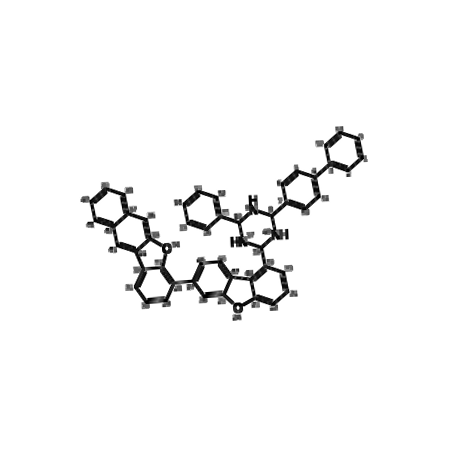 c1ccc(-c2ccc(C3NC(c4ccccc4)NC(c4cccc5oc6cc(-c7cccc8c7oc7cc9ccccc9cc78)ccc6c45)N3)cc2)cc1